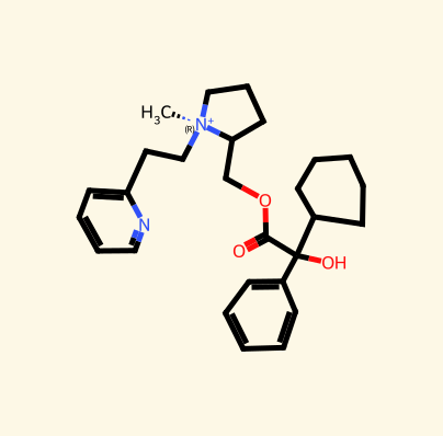 C[N@+]1(CCc2ccccn2)CCCC1COC(=O)C(O)(c1ccccc1)C1CCCCC1